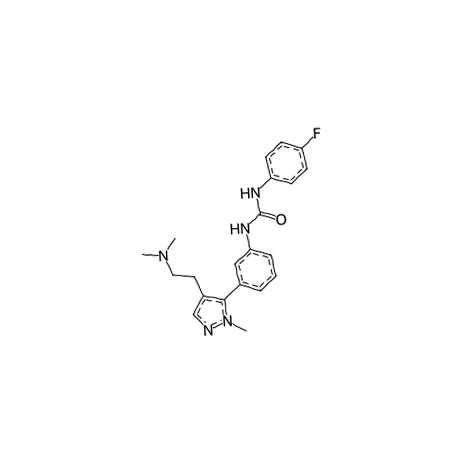 CN(C)CCc1cnn(C)c1-c1cccc(NC(=O)Nc2ccc(F)cc2)c1